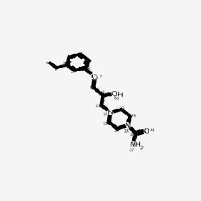 CCc1cccc(OCC(O)CN2CCN(C(N)=O)CC2)c1